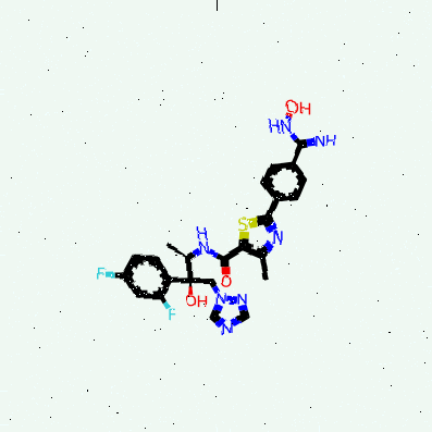 Cc1nc(-c2ccc(C(=N)NO)cc2)sc1C(=O)N[C@H](C)[C@](O)(Cn1cncn1)c1ccc(F)cc1F